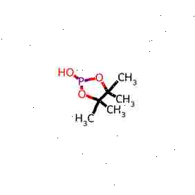 CC1(C)OP(O)OC1(C)C